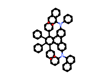 c1ccc(-c2c(-c3ccccc3)c(-c3ccccc3)c3c4cc(N(c5ccccc5)c5cccc6ccccc56)ccc4c4ccc(N(c5ccccc5)c5cccc6ccccc56)cc4c3c2-c2ccccc2)cc1